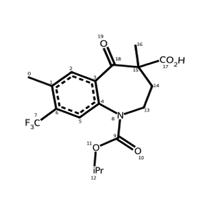 Cc1cc2c(cc1C(F)(F)F)N(C(=O)OC(C)C)CCC(C)(C(=O)O)C2=O